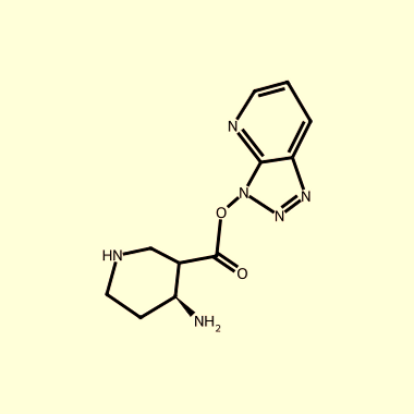 N[C@H]1CCNCC1C(=O)On1nnc2cccnc21